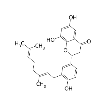 CC(C)=CCC/C(C)=C/Cc1cc([C@H]2CC(=O)c3cc(O)cc(O)c3O2)ccc1O